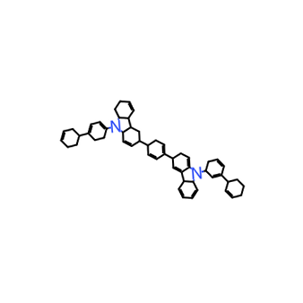 C1=CC2C3=CC(C4=CCC(C5C=CC6C(C5)C5C=CCCC5N6C5=CC=C(C6CC=CCC6)CC5)C=C4)CC=C3N(C3C=C(C4C=CCCC4)C=CC3)C2C=C1